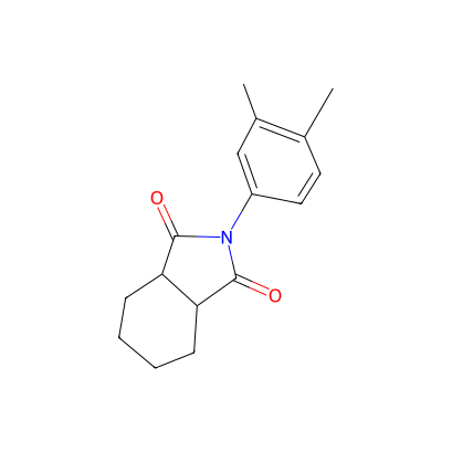 Cc1ccc(N2C(=O)C3CCCCC3C2=O)cc1C